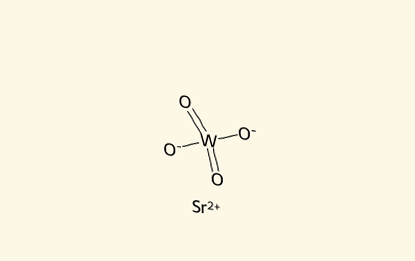 [O]=[W](=[O])([O-])[O-].[Sr+2]